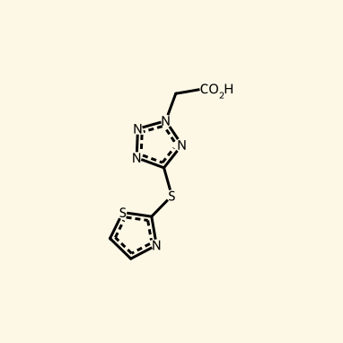 O=C(O)Cn1nnc(Sc2nccs2)n1